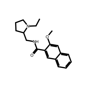 CCN1CCCC1CNC(=O)c1[c]c2ccccc2cc1OC